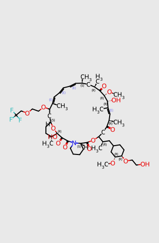 CO[C@@H]1CC(C[C@@H](C)C2CC(=O)[C@H](C)/C=C(\C)[C@@H](O)[C@@H](OC)C(=O)[C@H](C)C[C@H](C)/C=C/C=C/C=C(\C)C(OCCOCC(F)(F)F)C[C@@H]3CC[C@@H](C)[C@@](O)(O3)C(=O)C(=O)N3CCCC[C@H]3C(=O)O2)CC[C@H]1OCCO